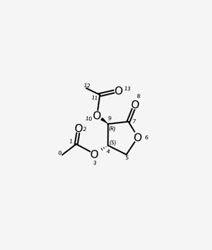 CC(=O)O[C@H]1COC(=O)[C@@H]1OC(C)=O